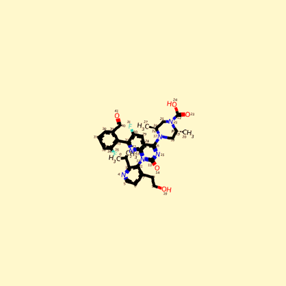 CC(C)c1nccc(CCO)c1-n1c(=O)nc(N2C[C@@H](C)N(C(=O)O)C[C@@H]2C)c2cc(F)c(-c3c(F)cccc3C=O)nc21